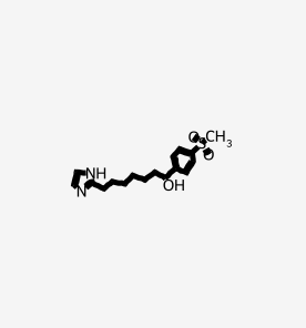 CS(=O)(=O)c1ccc(C(O)CCCCCCc2ncc[nH]2)cc1